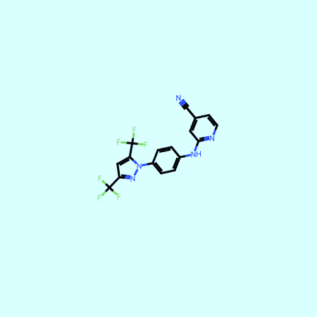 N#Cc1ccnc(Nc2ccc(-n3nc(C(F)(F)F)cc3C(F)(F)F)cc2)c1